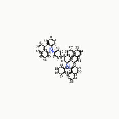 c1ccc(N(c2ccc(-c3cc(N(c4ccccc4)c4cccc5ccccc45)c4ccc5cccc6ccc3c4c65)cc2)c2cccc3ccccc23)cc1